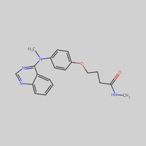 CNC(=O)CCCOc1ccc(N(C)c2ncnc3ccccc23)cc1